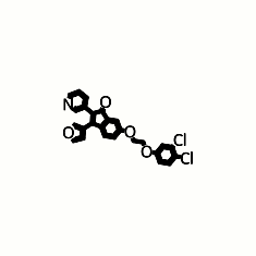 O=C1C(c2cccnc2)=C(c2ccoc2)c2ccc(OCCOc3ccc(Cl)c(Cl)c3)cc21